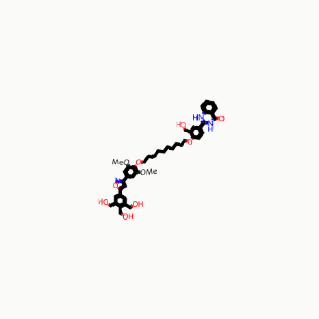 COc1cc(-c2cc(-c3cc(CO)c(CO)c(CO)c3)on2)cc(OC)c1OCCCCCCCCCCOc1ccc(C2NC(=O)c3ccccc3N2)cc1CO